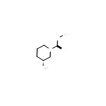 C[C@@H]1[C@@H](O)CCCN1C(=O)OC(C)(C)C